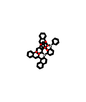 CC1(C)c2cc3ccccc3cc2-c2cccc(N(c3ccc4ccccc4c3-c3ccc4ccccc4c3)c3cccc4c3c3ccccc3n4-c3ccccc3)c21